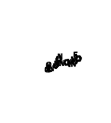 CC1CC(Nc2cnccc2N2CCC(N3CCOC3=O)C2)CCN1c1ncc2cccc(F)c2n1